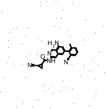 Cc1cccc(C#N)c1-c1cc(N)c2cnc(NC(=O)C3CC3C#N)cc2c1